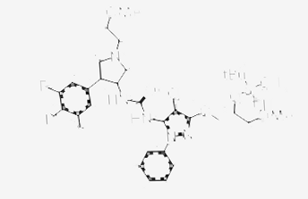 COCCN1CC(NC(=O)Nc2c(C)c(OC[C@@H](COC)O[Si](C)(C)C(C)(C)C)nn2-c2ccccc2)C(c2cc(F)c(F)c(F)c2)C1